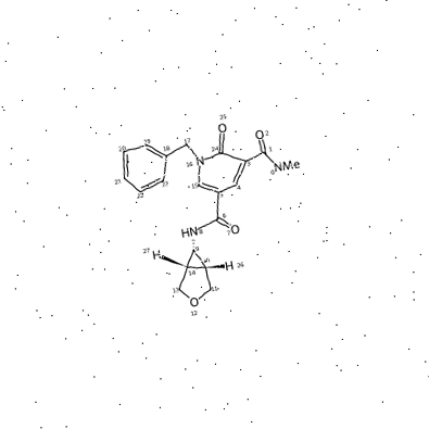 CNC(=O)c1cc(C(=O)N[C@@H]2[C@@H]3COC[C@@H]32)cn(Cc2ccccc2)c1=O